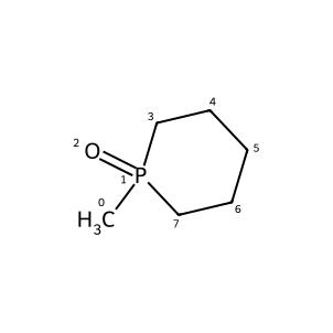 CP1(=O)CCCCC1